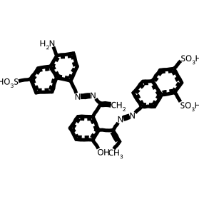 C=C(N=Nc1ccc(N)c2cc(S(=O)(=O)O)ccc12)c1cccc(O)c1/C(=C\C)N=Nc1ccc2cc(S(=O)(=O)O)cc(S(=O)(=O)O)c2c1